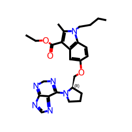 CCCCn1c(C)c(C(=O)OCC)c2cc(OC[C@H]3CCCN3C3=NCN=C4N=CN=C43)ccc21